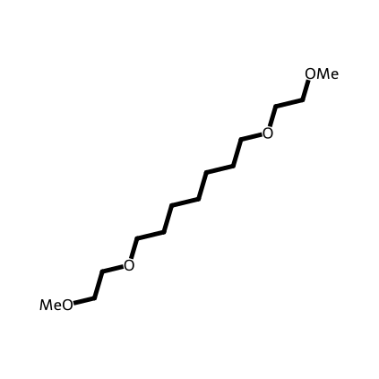 COCCOCCCCCCCOCCOC